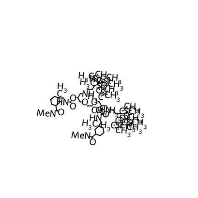 CNC(=O)C1CCCC(C)(CNC(=O)OC(CNCCC[Si](O[Si](C)(C)C)(O[Si](C)(C)C)O[Si](C)(C)C)COCC(C)OCC(CNCCC[Si](O[Si](C)(C)C)(O[Si](C)(C)C)O[Si](C)(C)C)OC(=O)NCC2(C)CCCC(C(=O)NC)C2)C1